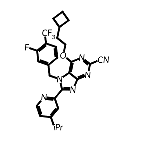 CC(C)c1ccnc(-c2nc3nc(C#N)nc(OCCC4CCC4)c3n2Cc2ccc(C(F)(F)F)c(F)c2)c1